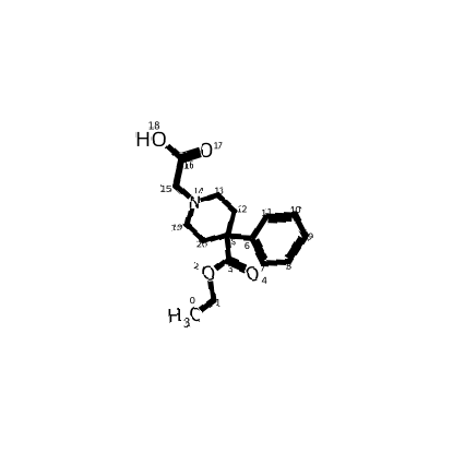 CCOC(=O)C1(c2ccccc2)CCN(CC(=O)O)CC1